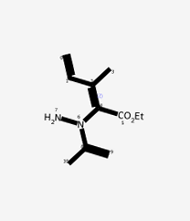 C=C/C(C)=C(/C(=O)OCC)N(N)C(=C)C